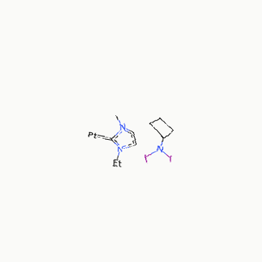 CCn1ccn(C)[c]1=[Pt].IN(I)C1CCC1